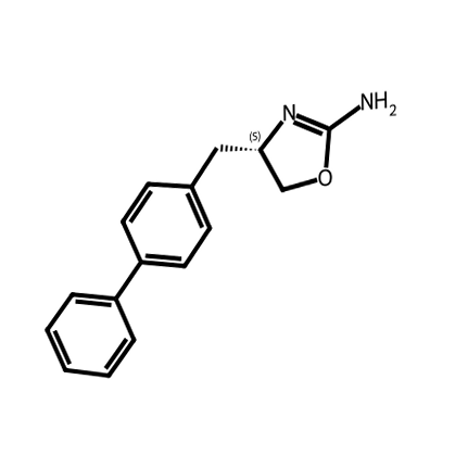 NC1=N[C@@H](Cc2ccc(-c3ccccc3)cc2)CO1